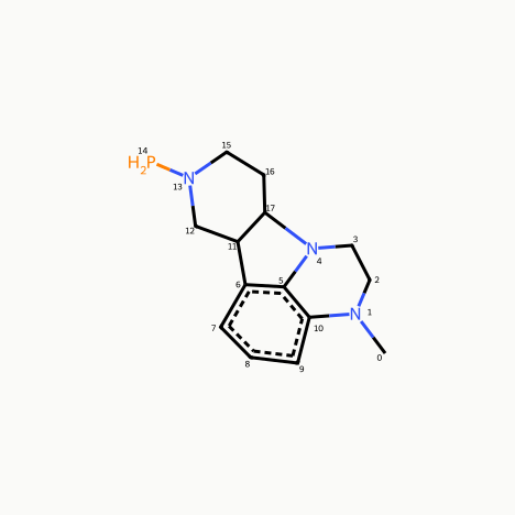 CN1CCN2c3c(cccc31)C1CN(P)CCC12